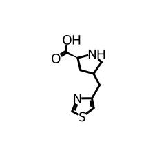 O=C(O)[C@@H]1CC(Cc2cscn2)CN1